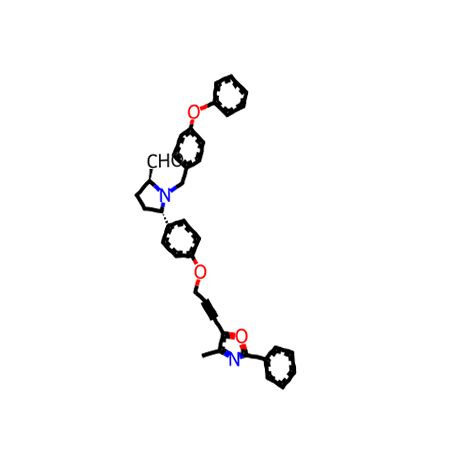 Cc1nc(-c2ccccc2)oc1C#CCOc1ccc([C@@H]2CC[C@@H](C=O)N2Cc2ccc(Oc3ccccc3)cc2)cc1